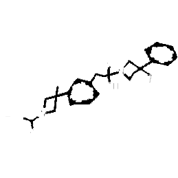 CC(C)N1CC(O)(c2cccc(CC(C)(C)N3CC(F)(c4ccccc4)C3)c2)C1